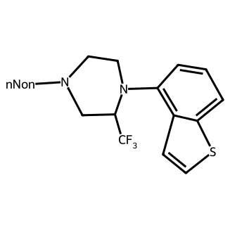 CCCCCCCCCN1CCN(c2cccc3sccc23)C(C(F)(F)F)C1